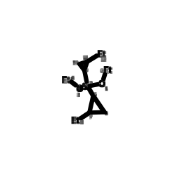 CCO[Si](OCC)(C1CC1CC)C1CC1CC